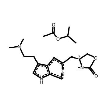 CC(=O)OC(C)C.CN(C)CCc1c[nH]c2ccc(C[C@H]3COC(=O)N3)cc12